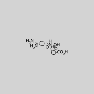 NCC[C@@H](N)[C@H]1CC[C@H](CC(=O)NC2Cc3cccc(C(=O)O)c3OB2O)CC1